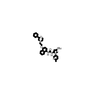 Cc1ccc(-n2nc(C(C)(C)C)cc2NC(=O)Nc2ccc(OCCN3CCOC(c4ccccc4)C3)c3ccccc23)cn1